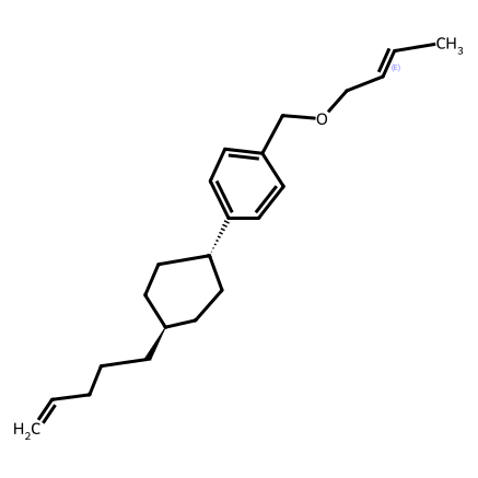 C=CCCC[C@H]1CC[C@H](c2ccc(COC/C=C/C)cc2)CC1